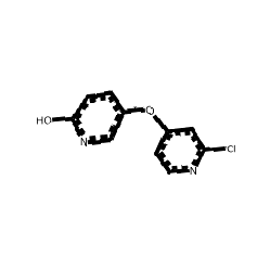 Oc1ccc(Oc2ccnc(Cl)c2)cn1